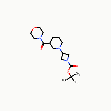 CC(C)(C)OC(=O)N1CC(N2CCCC(C(=O)N3CCOCC3)C2)C1